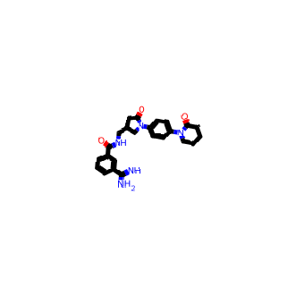 N=C(N)c1cccc(C(=O)NCC2CC(=O)N(c3ccc(N4CCCCC4=O)cc3)C2)c1